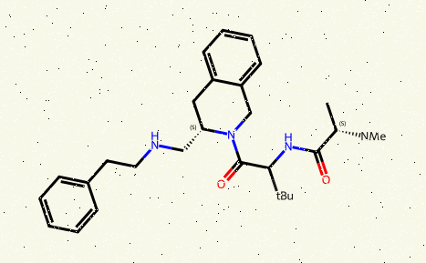 CN[C@@H](C)C(=O)NC(C(=O)N1Cc2ccccc2C[C@H]1CNCCc1ccccc1)C(C)(C)C